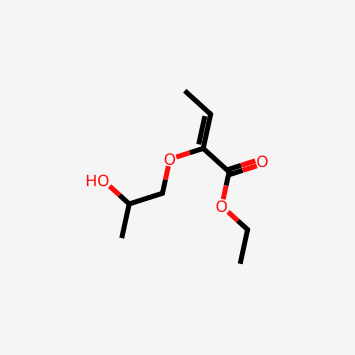 CC=C(OCC(C)O)C(=O)OCC